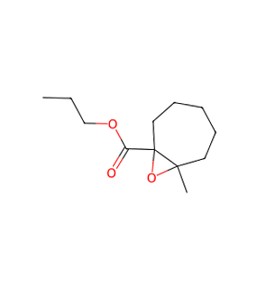 CCCOC(=O)C12CCCCCC1(C)O2